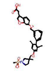 Cc1cc(OCC2(C)CCN(S(C)(=O)=O)C2)cc(C)c1-c1cccc(COc2ccc3c(c2)OCC3CC(=O)O)c1